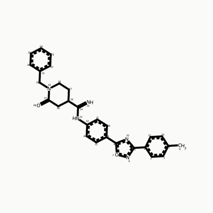 Cc1ccc(-c2noc(-c3ccc(NC(=N)C4CCN(Cc5ccccc5)C(=O)C4)cc3)n2)cc1